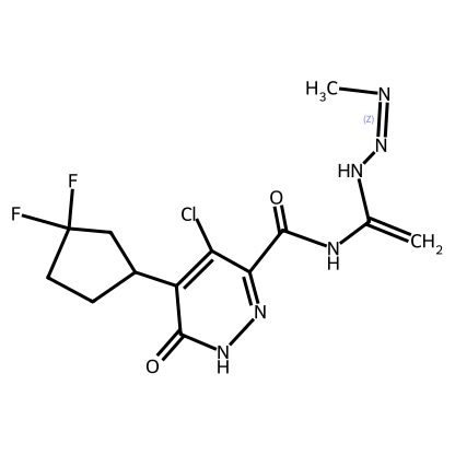 C=C(N/N=N\C)NC(=O)c1n[nH]c(=O)c(C2CCC(F)(F)C2)c1Cl